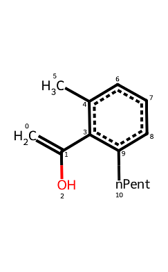 C=C(O)c1c(C)cccc1CCCCC